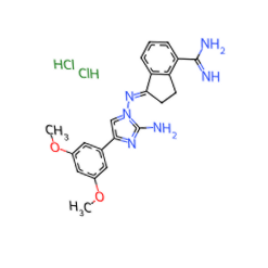 COc1cc(OC)cc(-c2cn(N=C3CCc4c(C(=N)N)cccc43)c(N)n2)c1.Cl.Cl